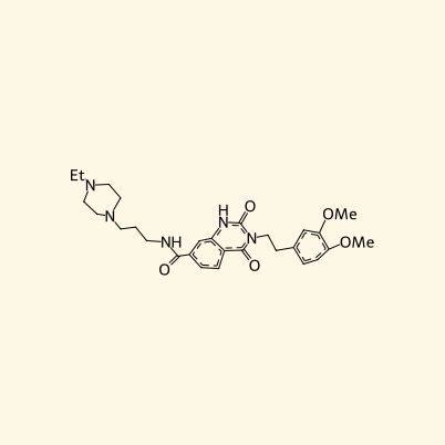 CCN1CCN(CCCNC(=O)c2ccc3c(=O)n(CCc4ccc(OC)c(OC)c4)c(=O)[nH]c3c2)CC1